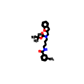 Cc1cccc(C(=O)NCCCCN(CC2Cc3ccccc3O2)C(=O)OC(C)(C)C)c1